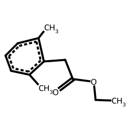 CCOC(=O)Cc1c(C)cccc1C